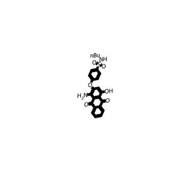 CCCCNS(=O)(=O)c1ccc(Oc2cc(O)c3c(c2N)C(=O)c2ccccc2C3=O)cc1